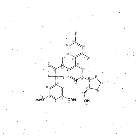 COc1cc(OC)cc(C(C)(C)C(=O)N(C)c2cnc(N3CCC[C@H]3CO)cc2-c2ccc(F)cc2C)c1